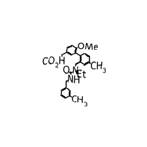 CCN(Cc1cc(C)ccc1-c1cc(CC(=O)O)ccc1OC)C(=O)NCc1cccc(C)c1